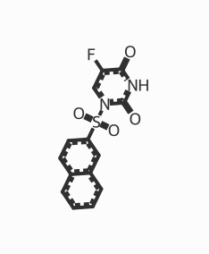 O=c1[nH]c(=O)n(S(=O)(=O)c2ccc3ccccc3c2)cc1F